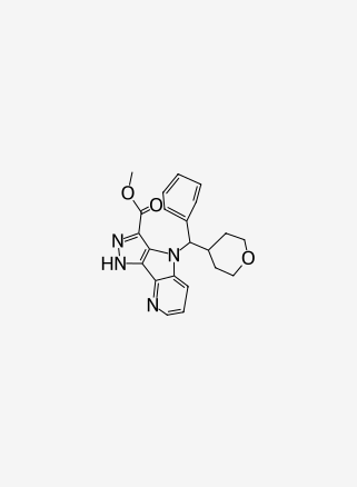 COC(=O)c1n[nH]c2c3ncccc3n(C(c3ccccc3)C3CCOCC3)c12